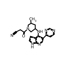 CC1CC(Nc2c(-c3ccncn3)cnc3[nH]ccc23)CN(C(=O)CC#N)C1